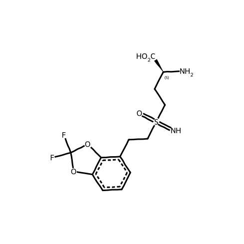 N=S(=O)(CCc1cccc2c1OC(F)(F)O2)CC[C@H](N)C(=O)O